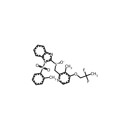 Cc1ccccc1S(=O)(=O)n1c([S+]([O-])Cc2nccc(OCC(C)(F)F)c2C)nc2ccccc21